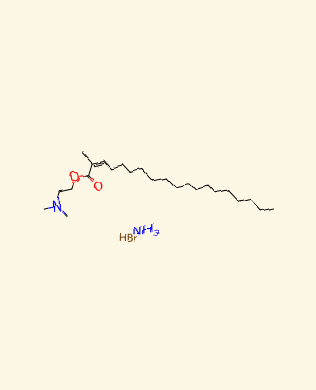 Br.CCCCCCCCCCCCCCCCC=C(C)C(=O)OCCN(C)C.N